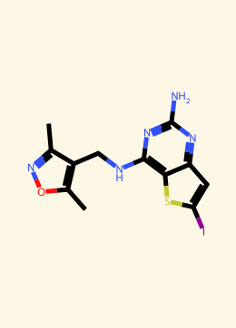 Cc1noc(C)c1CNc1nc(N)nc2cc(I)sc12